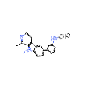 Cc1nccc2c1[nH]c1ccc(-c3cccc(NC=O)c3)cc12